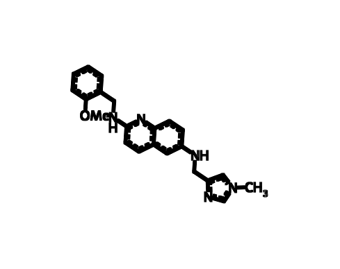 COc1ccccc1CNc1ccc2cc(NCc3cn(C)cn3)ccc2n1